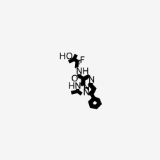 CC(C)Nc1c(C(=O)NC[C@@H](F)C(C)(C)O)cnc2cc(-c3ccccc3)nn12